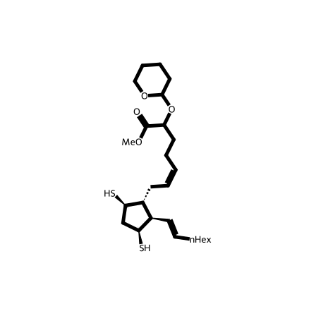 CCCCCC/C=C/[C@@H]1[C@@H](C/C=C\CCC(OC2CCCCO2)C(=O)OC)[C@H](S)C[C@@H]1S